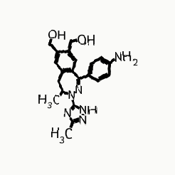 Cc1n[nH]c(N2N=C(c3ccc(N)cc3)c3cc(CO)c(CO)cc3CC2C)n1